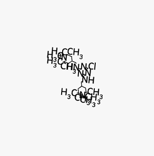 CN1C(C)(C)CC(CNc2nc(Cl)nc(NCC3CC(C)(C)N(C)C(C)(C)C3)n2)CC1(C)C